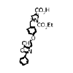 CCOC(=O)N1C[C@H](C(=O)O)C[C@@H]1Cc1ccc(OCCc2nc(-c3ccccc3)oc2C)cc1